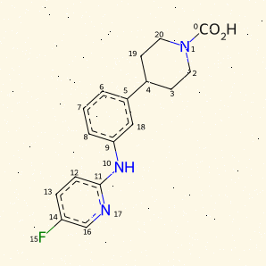 O=C(O)N1CCC(c2cccc(Nc3ccc(F)cn3)c2)CC1